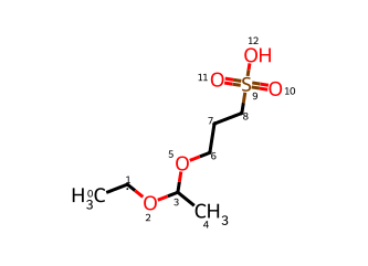 C[CH]OC(C)OCCCS(=O)(=O)O